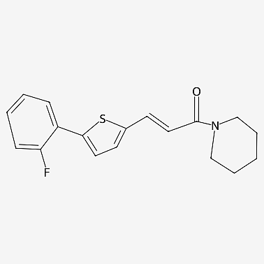 O=C(C=Cc1ccc(-c2ccccc2F)s1)N1CCCCC1